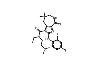 CCN(CCN(C)C)C(=O)c1c(Nc2ccc(I)cc2F)sc2c1CC(C)(C)CNC2=O